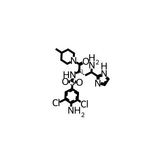 CC1CCN(C(=O)[C@H](CC(N)c2ncc[nH]2)NS(=O)(=O)c2cc(Cl)c(N)c(Cl)c2)CC1